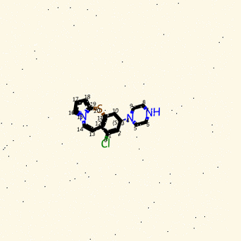 ClC1=C[C@@H](N2CCNCC2)CC2=C1C=Cn1cccc1S2